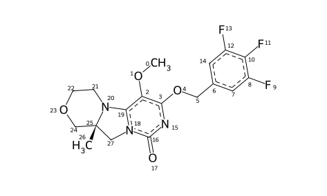 COc1c(OCc2cc(F)c(F)c(F)c2)nc(=O)n2c1N1CCOC[C@@]1(C)C2